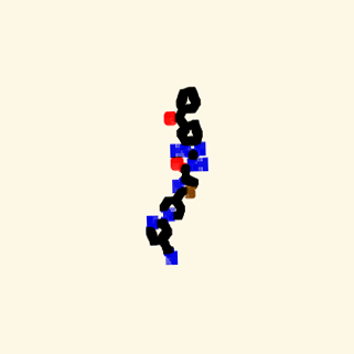 N#Cc1ccnc(N2CCC(c3nc(C(=O)Nc4nc5ccc(C(=O)c6ccccc6)cc5[nH]4)cs3)CC2)c1